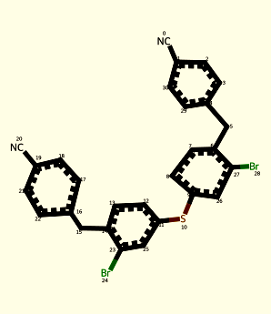 N#Cc1ccc(Cc2ccc(Sc3ccc(Cc4ccc(C#N)cc4)c(Br)c3)cc2Br)cc1